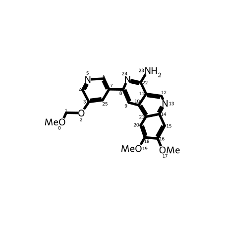 COCOc1cncc(-c2cc3c(cnc4cc(OC)c(OC)cc43)c(N)n2)c1